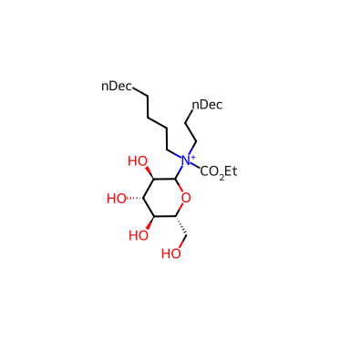 CCCCCCCCCCCCCC[N+](CCCCCCCCCCCC)(C(=O)OCC)C1O[C@H](CO)[C@@H](O)[C@H](O)[C@H]1O